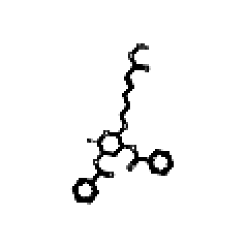 C[C@@H]1O[C@@H](OCCC/C=C/C(=O)OC(C)(C)C)[C@H](OC(=O)c2ccccc2)C[C@H]1OC(=O)c1ccccc1